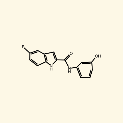 O=C(Nc1cccc(O)c1)c1cc2cc(F)ccc2[nH]1